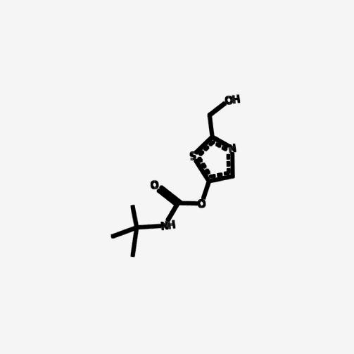 CC(C)(C)NC(=O)Oc1cnc(CO)s1